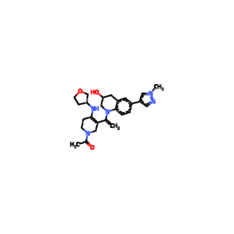 C=C(C1=C(NC2CCOC2)CCN(C(C)=O)C1)N1CC(O)Cc2cc(-c3cnn(C)c3)ccc21